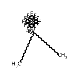 CCCCCCCCCCCCCCCCCCCc1c[nH+]cn1CCCCCCCCCCCCCCCCCC.Fc1c(F)c(F)c([B-](c2c(F)c(F)c(F)c(F)c2F)(c2c(F)c(F)c(F)c(F)c2F)c2c(F)c(F)c(F)c(F)c2F)c(F)c1F